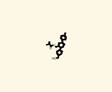 C=C(C)C(=O)OCc1cc(-c2ccc(C)cc2)ccc1-c1ccc(CO)cc1